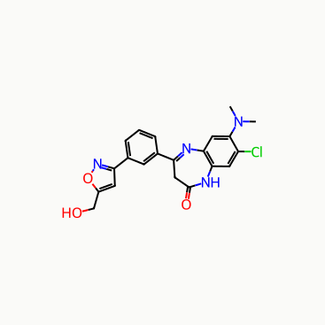 CN(C)c1cc2c(cc1Cl)NC(=O)CC(c1cccc(-c3cc(CO)on3)c1)=N2